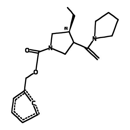 C=C(C1CN(C(=O)OCc2ccccc2)C[C@H]1CC)N1CCCC1